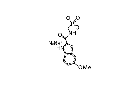 COc1ccc2[nH]c(C(=O)NCP(=O)([O-])[O-])cc2c1.[Na+].[Na+]